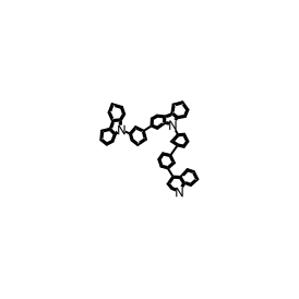 c1cc(-c2cccc(-n3c4ccccc4c4ccc(-c5cccc(-n6c7ccccc7c7ccccc76)c5)cc43)c2)cc(-c2ccnc3ccccc23)c1